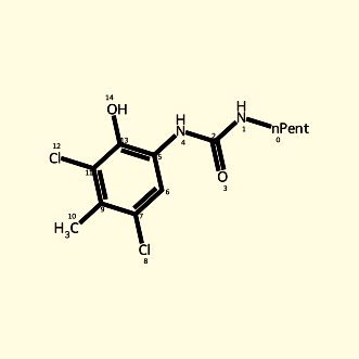 CCCCCNC(=O)Nc1cc(Cl)c(C)c(Cl)c1O